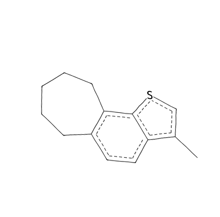 Cc1csc2c3c(ccc12)CCCCC3